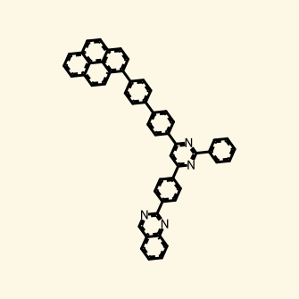 c1ccc(-c2nc(-c3ccc(-c4ccc(-c5ccc6ccc7cccc8ccc5c6c78)cc4)cc3)cc(-c3ccc(-c4ncc5ccccc5n4)cc3)n2)cc1